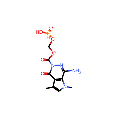 Cc1cn(C)c2c(N)nn(C(=O)OCO[PH](=O)O)c(=O)c12